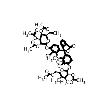 CC[C@H]1O[C@@H](Oc2ccc3c(c2Cl)[Si](C)(C)c2c(ccc(O[C@@H]4O[C@H](COC(C)=O)[C@H](C)[C@H](C)[C@H]4OC(C)=O)c2Cl)C32OC(=O)c3ccccc32)[C@H](OC(C)=O)[C@@H](OC(C)=O)[C@H]1OC(C)=O